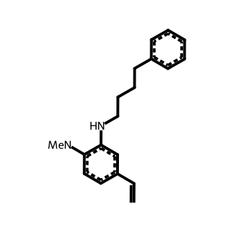 C=Cc1ccc(NC)c(NCCCCc2ccccc2)c1